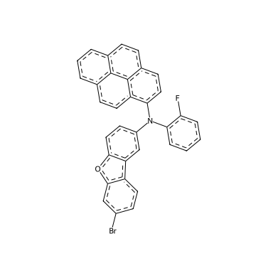 Fc1ccccc1N(c1ccc2oc3cc(Br)ccc3c2c1)c1ccc2ccc3cccc4ccc1c2c34